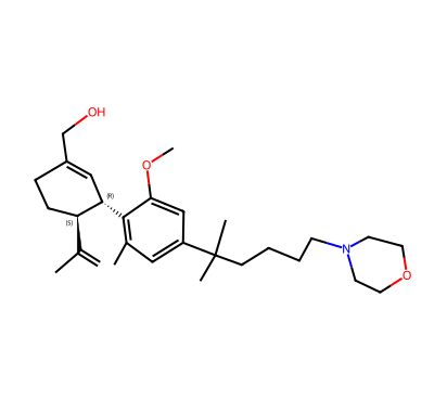 C=C(C)[C@H]1CCC(CO)=C[C@@H]1c1c(C)cc(C(C)(C)CCCCN2CCOCC2)cc1OC